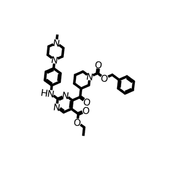 CCOC(=O)c1cnc(Nc2ccc(N3CCN(C)CC3)cc2)nc1C(=O)C1CCCN(C(=O)OCc2ccccc2)C1